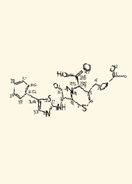 CC(=O)OCC1=CSC2C(Nc3ncc(-c4ccccc4)s3)C(=O)N2[C@H]1C(=O)O